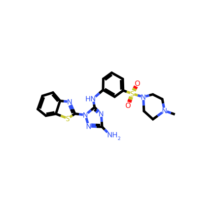 CN1CCN(S(=O)(=O)c2cccc(Nc3nc(N)nn3-c3nc4ccccc4s3)c2)CC1